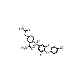 CNC(=O)CN1CCN(S(=O)(=O)c2cc(F)c(Oc3ccc(Cl)cc3)c(F)c2)[C@@H](C(N)=O)C1